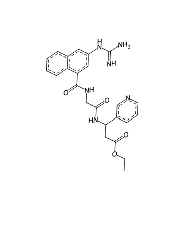 CCOC(=O)CC(NC(=O)CNC(=O)c1cc(NC(=N)N)cc2ccccc12)c1cccnc1